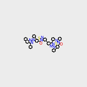 O=c1c2ccc3c(c4ccccc4n3-c3nc(-c4ccccc4)c4ccc5ccccc5c4n3)c2sc2nc3ccc(-c4ccc5nc(-n6c7ccccc7c7ccc8c(=O)n9c(nc%10ccccc%109)sc8c76)nc(-c6ccccc6)c5c4)cc3n12